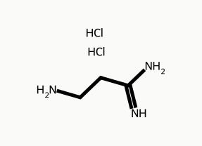 Cl.Cl.N=C(N)CCN